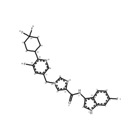 O=C(Nc1c[nH]c2cc(F)ccc12)c1cn(Cc2cnc(C3CCC(F)(F)CC3)c(F)c2)cn1